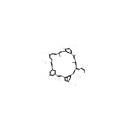 C\C=C(/C=C1/C=C(\C#N)c2cc(C(C)(C)C)cc(c2C)/C=C(\C#N)c2cc(cc(C(C)(C)C)c2)/C=C(\C#N)c2cc(cc(C(C)(C)C)c2)/C(C)=C(\C#N)c2cc(cc(C(C)(C)C)c2)\C(C)=C/C(C)=C/1)C(C)(C)C